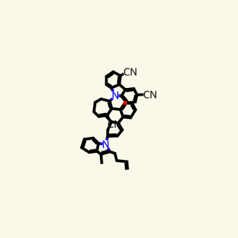 C=CCCc1c(C)c2ccccc2n1C1=CC=C(c2ccccc2C2=C(n3c4ccc(C#N)cc4c4c(C#N)cccc43)CCCC=C2C#N)C(C)C1